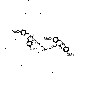 COc1ccc(CN(Cc2ccc(OC)cc2)C(=O)OCOCOCN(C)COCOCOC(=O)N(Cc2ccc(OC)cc2)Cc2ccc(OC)cc2)cc1